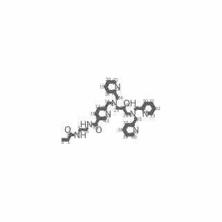 C=CC(=O)NCCNC(=O)c1ccc(CN(Cc2ccccn2)CC(O)CN(Cc2ccccn2)Cc2ccccn2)nc1